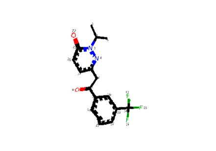 CC(C)n1nc(CC(=O)c2cccc(C(F)(F)F)c2)ccc1=O